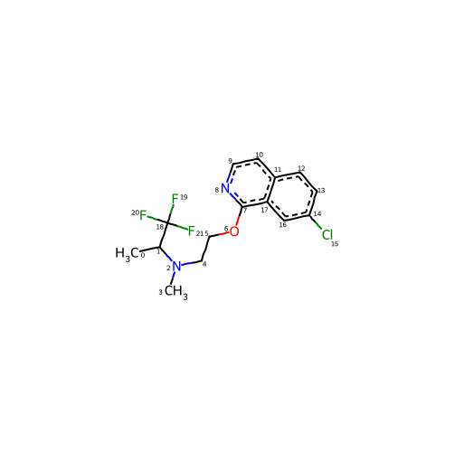 CC(N(C)CCOc1nccc2ccc(Cl)cc12)C(F)(F)F